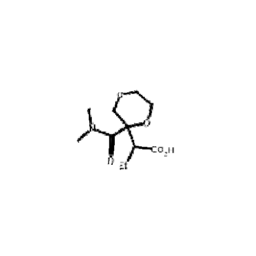 CCC(C(=O)O)C1(C(=O)N(C)C)COCCO1